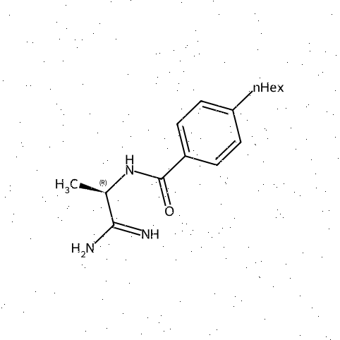 CCCCCCc1ccc(C(=O)N[C@H](C)C(=N)N)cc1